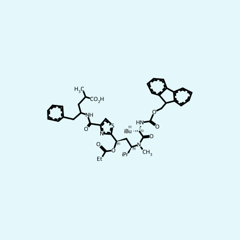 CCC(=O)O[C@H](C[C@H](C(C)C)N(C)C(=O)[C@@H](NC(=O)OCC1c2ccccc2-c2ccccc21)[C@@H](C)CC)c1nc(C(=O)NC(Cc2ccccc2)CC(C)C(=O)O)cs1